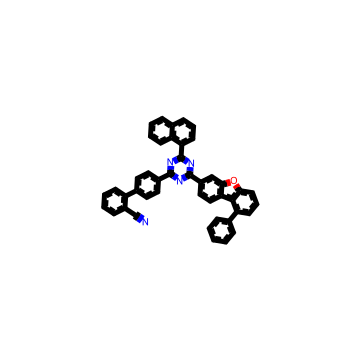 N#Cc1ccccc1-c1ccc(-c2nc(-c3ccc4c(c3)oc3cccc(-c5ccccc5)c34)nc(-c3cccc4ccccc34)n2)cc1